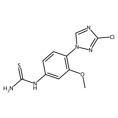 COc1cc(NC(N)=S)ccc1-n1cnc(Cl)n1